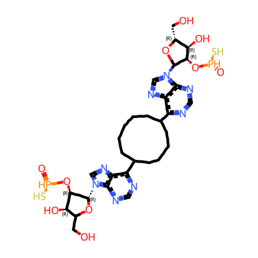 O=[PH](S)O[C@@H]1[C@H](O)C(CO)O[C@H]1n1cnc2c(C3CCCCCC(c4ncnc5c4ncn5C4O[C@H](CO)[C@@H](O)[C@H]4O[PH](=O)S)CCCC3)ncnc21